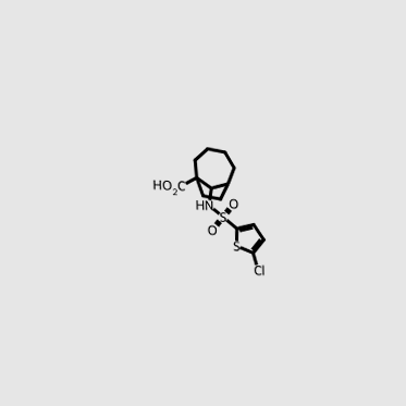 O=C(O)C12CCCCC(CC1)C2NS(=O)(=O)c1ccc(Cl)s1